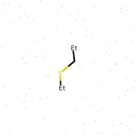 [CH]CSCCC